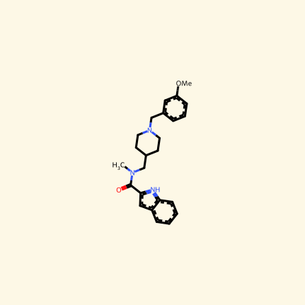 COc1cccc(CN2CCC(CN(C)C(=O)c3cc4ccccc4[nH]3)CC2)c1